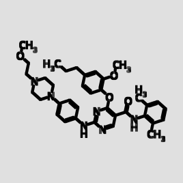 CCCc1ccc(Oc2nc(Nc3ccc(N4CCN(CCOC)CC4)cc3)ncc2C(=O)Nc2c(C)cccc2C)c(OC)c1